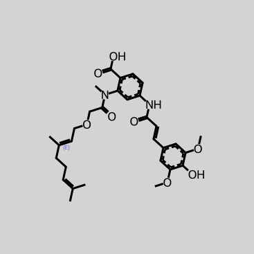 COc1cc(C=CC(=O)Nc2ccc(C(=O)O)c(N(C)C(=O)COC/C=C(\C)CCC=C(C)C)c2)cc(OC)c1O